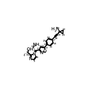 C[C@H](O)c1nccn1[C@H](CN)c1cc(-c2ccc(C#CC3(N)CC3)cc2)on1